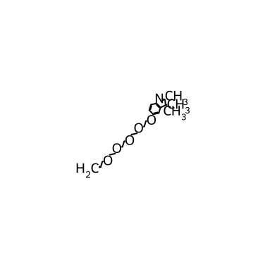 C=CCOCCOCCOCCOCCOc1ccc2c(c1)C(C)(C)C(C)=N2